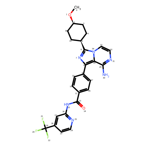 CO[C@H]1CC[C@@H](c2nc(-c3ccc(C(=O)Nc4cc(C(F)(F)F)ccn4)cc3)c3c(N)nccn32)CC1